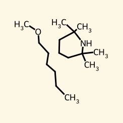 CC1(C)CCCC(C)(C)N1.CCCCCCOC